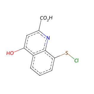 O=C(O)c1cc(O)c2cccc(SCl)c2n1